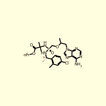 CCCOC(=O)C(C)(C)NP(=O)(COC(C)Cn1cnc2c(N)ncnc21)N[C@@H](C)c1ccc(Cl)cc1C